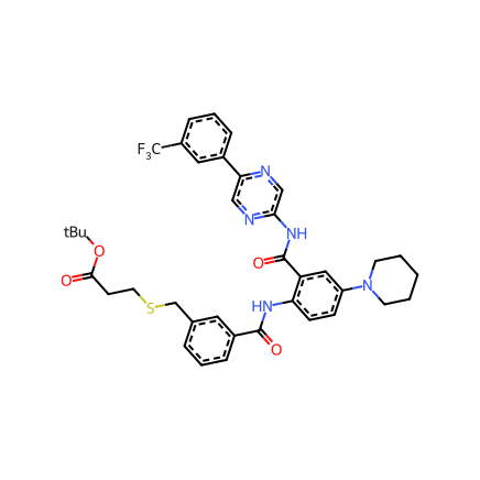 CC(C)(C)OC(=O)CCSCc1cccc(C(=O)Nc2ccc(N3CCCCC3)cc2C(=O)Nc2cnc(-c3cccc(C(F)(F)F)c3)cn2)c1